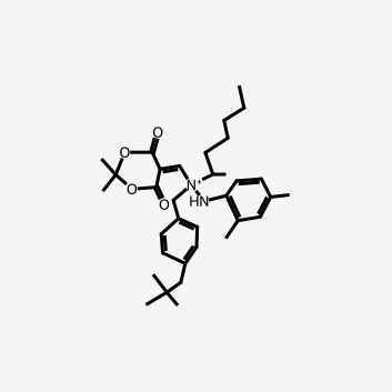 CCCCCC(C)[N+](C=C1C(=O)OC(C)(C)OC1=O)(Cc1ccc(CC(C)(C)C)cc1)Nc1ccc(C)cc1C